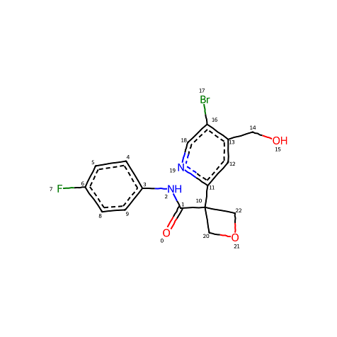 O=C(Nc1ccc(F)cc1)C1(c2cc(CO)c(Br)cn2)COC1